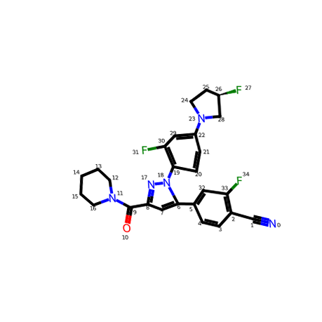 N#Cc1ccc(-c2cc(C(=O)N3CCCCC3)nn2-c2ccc(N3CC[C@@H](F)C3)cc2F)cc1F